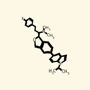 CC(C)n1ccc2cc(-c3ccc4c(c3)COC4C(CCc3ccc(F)cc3)N(C)C)ccc21